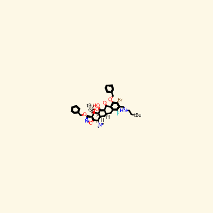 CN(C)[C@@H]1c2onc(OCc3ccccc3)c2C(=O)[C@@]2(O[Si](C)(C)C(C)(C)C)C(O)=C3C(=O)c4c(c(F)c(CNCCC(C)(C)C)c(Br)c4OCc4ccccc4)C[C@H]3C[C@@H]12